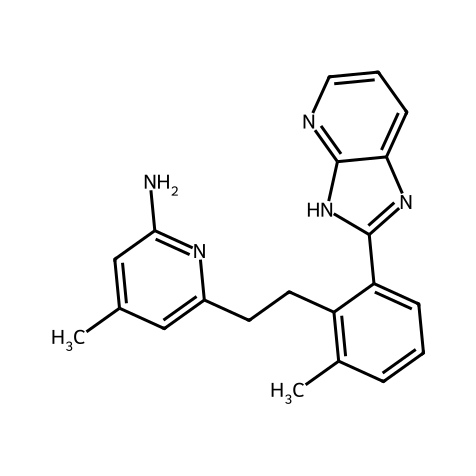 Cc1cc(N)nc(CCc2c(C)cccc2-c2nc3cccnc3[nH]2)c1